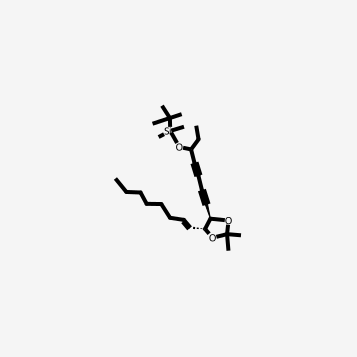 CCCCCC/C=C/[C@H]1OC(C)(C)O[C@@H]1C#CC#CC(CC)O[Si](C)(C)C(C)(C)C